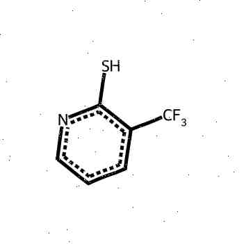 FC(F)(F)c1cccnc1S